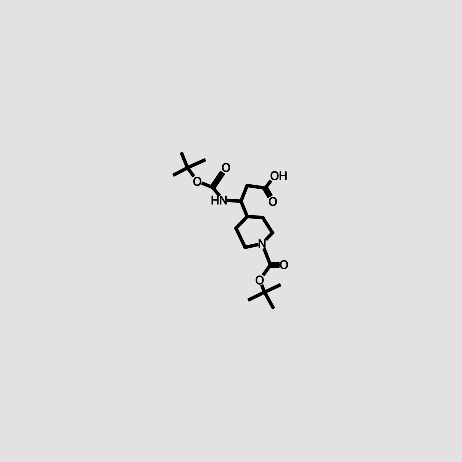 CC(C)(C)OC(=O)NC(CC(=O)O)C1CCN(C(=O)OC(C)(C)C)CC1